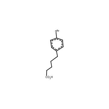 [CH2]CCc1ccc(CCCCC(=O)O)cc1